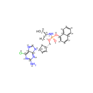 C[C@H](NP(=O)(OC[C@@H]1C=C[C@H](n2cnc3c(Cl)nc(N)nc32)C1)Oc1cccc2ccccc12)C(=O)O